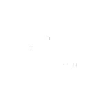 Cc1c(C(=O)O)ccc(Cl)c1Br